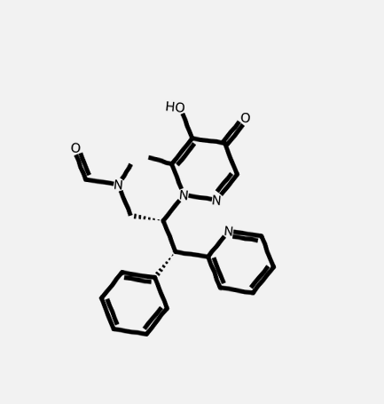 Cc1c(O)c(=O)cnn1[C@@H](CN(C)C=O)[C@@H](c1ccccc1)c1ccccn1